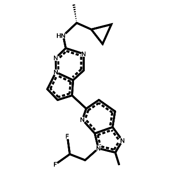 Cc1nc2ccc(-c3ccn4nc(N[C@H](C)C5CC5)ncc34)nc2n1CC(F)F